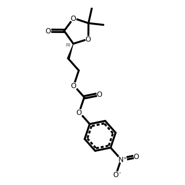 CC1(C)OC(=O)[C@H](CCOC(=O)Oc2ccc([N+](=O)[O-])cc2)O1